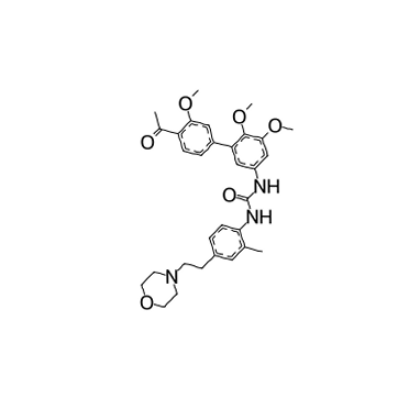 COc1cc(-c2cc(NC(=O)Nc3ccc(CCN4CCOCC4)cc3C)cc(OC)c2OC)ccc1C(C)=O